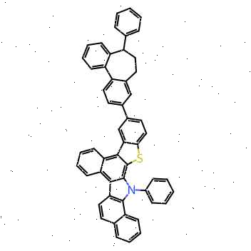 c1ccc(C2CCc3cc(-c4ccc5sc6c(c5c4)c4ccccc4c4c5ccc7ccccc7c5n(-c5ccccc5)c64)ccc3-c3ccccc32)cc1